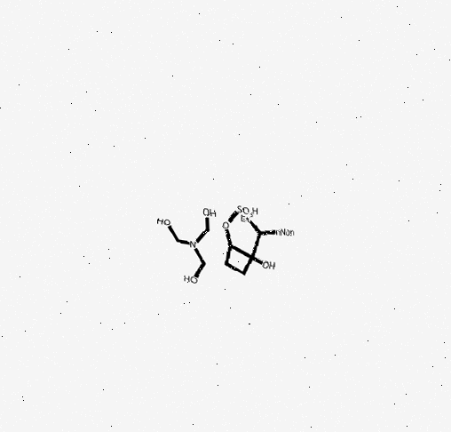 CCCCCCCCCC(CC)C1(O)CCC1OS(=O)(=O)O.OCN(CO)CO